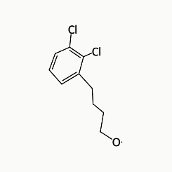 [O]CCCCc1cccc(Cl)c1Cl